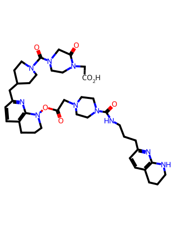 O=C(O)CN1CCN(C(=O)N2CCC(Cc3ccc4c(n3)N(OC(=O)CN3CCN(C(=O)NCCCc5ccc6c(n5)NCCC6)CC3)CCC4)CC2)CC1=O